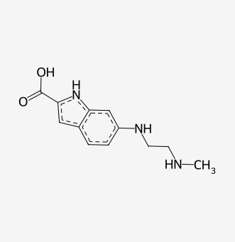 CNCCNc1ccc2cc(C(=O)O)[nH]c2c1